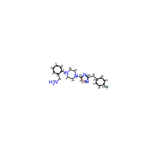 NCc1ccccc1N1CCN(c2nc(Cc3ccc(F)cc3)ns2)CC1